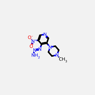 CN1CCN(c2cncc([N+](=O)[O-])c2N=NN)CC1